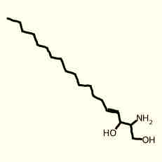 CCCCCCCCCCCCCCC=CC(O)C(N)CO